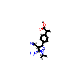 C=C(C(=O)OC)c1ccc(-c2nn(C(C)C)c(N)c2C#N)cc1